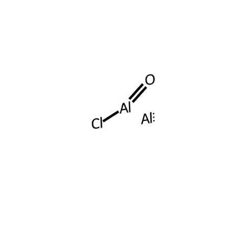 [Al].[O]=[Al][Cl]